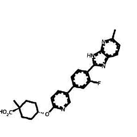 Cc1ccc2nc(-c3ccc(-c4ccc(O[C@H]5CC[C@](C)(C(=O)O)CC5)nc4)cc3F)[nH]c2n1